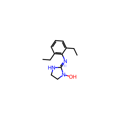 CCc1cccc(CC)c1/N=C1\NCCN1O